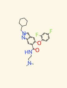 CN(C)CCNC(=O)c1cc2nn(CC3CCCCC3)cc2cc1Oc1ccc(F)cc1F